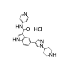 Cl.O=C(Nc1ccncc1)c1c[nH]c2ccc(-c3cnn(C4CCNCC4)c3)cc12